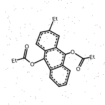 CCC(=O)Oc1c2ccccc2c(OC(=O)CC)c2cc(CC)ccc12